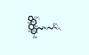 CN(C)CCO/N=C/CC1C[C@H](O)C[C@H]2CC[C@H]3[C@@H]4CCC[C@@]4(C)CC[C@@H]3[C@@]12C